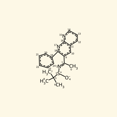 C/C(=N\[S+]([O-])C(C)(C)C)c1cc2cccnc2nc1-c1ccccc1